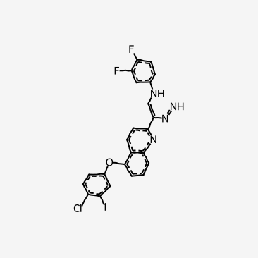 N=N/C(=C\Nc1ccc(F)c(F)c1)c1ccc2c(Oc3ccc(Cl)c(I)c3)cccc2n1